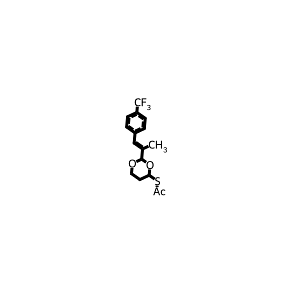 CC(=O)SC1CCOC(C(C)=Cc2ccc(C(F)(F)F)cc2)O1